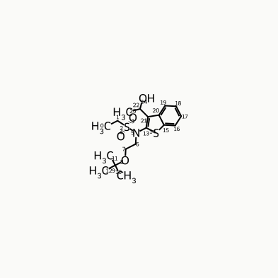 CCS(=O)(=O)N(CCOC(C)(C)C)c1sc2ccccc2c1C(C)O